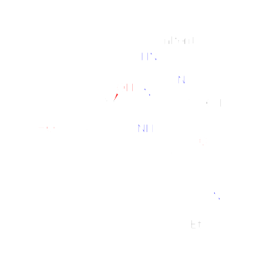 CCCCCNc1nc(C)c(-c2cc3cc(CC)ncc3o2)c(N[C@@H]2C[C@H](CO)C[C@H]2O)n1